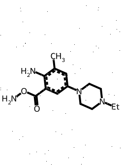 CCN1CCN(c2cc(C)c(N)c(C(=O)ON)c2)CC1